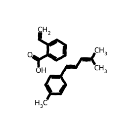 C=Cc1ccccc1C(=O)O.CC(C)=CC=Cc1ccc(C)cc1